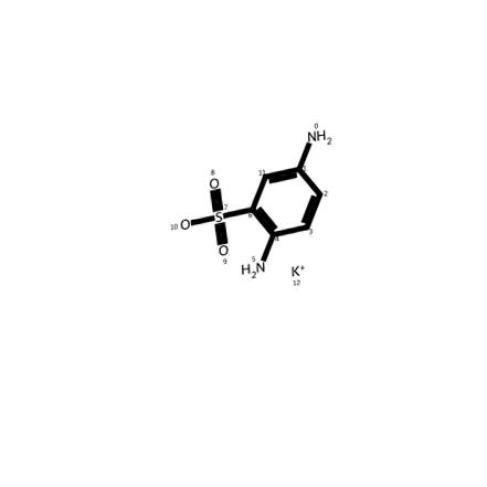 Nc1ccc(N)c(S(=O)(=O)[O-])c1.[K+]